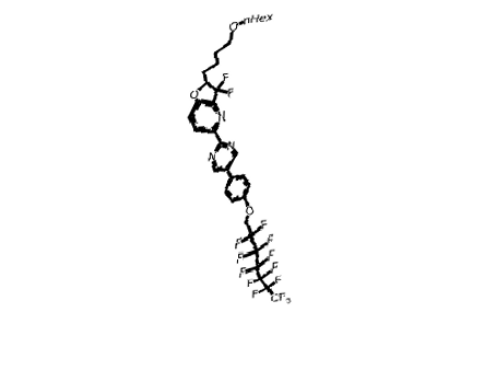 CCCCCCOCCCCC1Oc2ccc(-c3ncc(-c4ccc(OCC(F)(F)C(F)(F)C(F)(F)C(F)(F)C(F)(F)C(F)(F)F)cc4)cn3)nc2C1(F)F